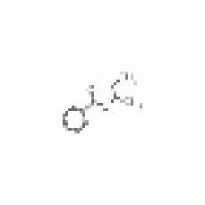 [CH2]CC(C)OC(=O)c1ccccc1